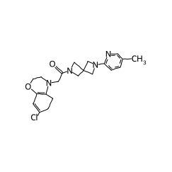 Cc1ccc(N2CC3(CN(C(=O)CN4CCOC5=C4CCC(Cl)=C5)C3)C2)nc1